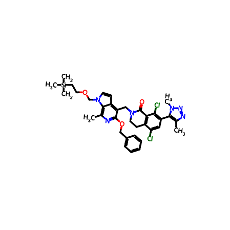 Cc1nnn(C)c1-c1cc(Cl)c2c(c1Cl)C(=O)N(Cc1c(OCc3ccccc3)nc(C)c3c1ccn3COCC[Si](C)(C)C)CC2